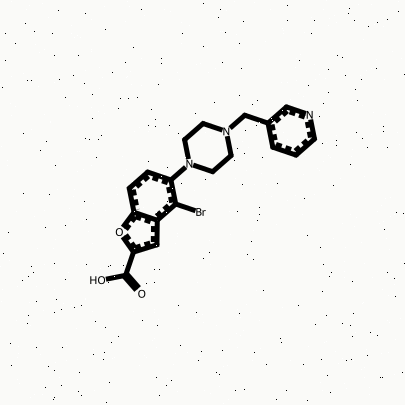 O=C(O)c1cc2c(Br)c(N3CCN(Cc4cccnc4)CC3)ccc2o1